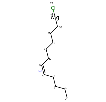 CCCC/C=C\CCCC[CH2][Mg][Cl]